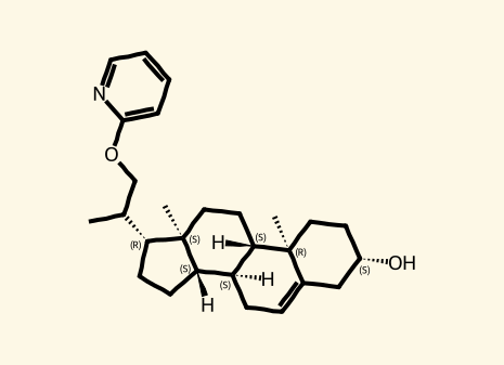 CC(COc1ccccn1)[C@H]1CC[C@H]2[C@@H]3CC=C4C[C@@H](O)CC[C@]4(C)[C@H]3CC[C@]12C